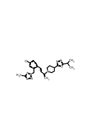 C=C(/C=C/c1ccc(Cl)cc1Cn1nnc(C)n1)N1CCC(c2nnc(C(C)C)o2)CC1